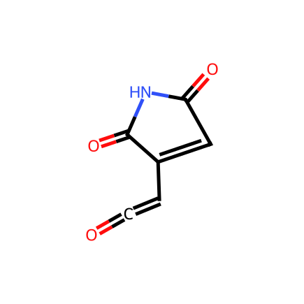 O=C=CC1=CC(=O)NC1=O